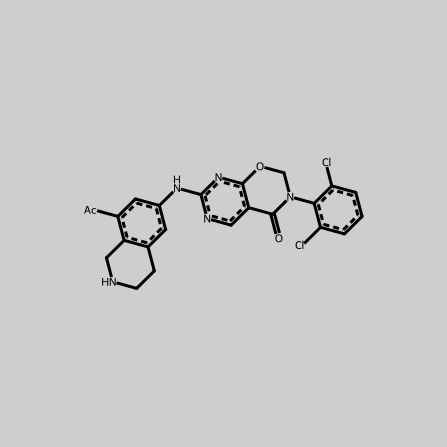 CC(=O)c1cc(Nc2ncc3c(n2)OCN(c2c(Cl)cccc2Cl)C3=O)cc2c1CNCC2